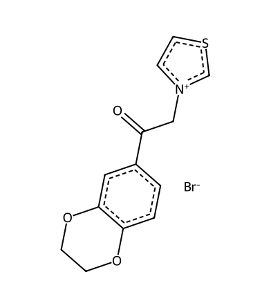 O=C(C[n+]1ccsc1)c1ccc2c(c1)OCCO2.[Br-]